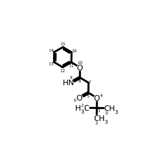 CC(C)(C)OC(=O)CC(=N)Oc1ccccc1